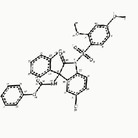 COc1ccc(S(=O)(=O)N2C(=O)C(NC(=O)Oc3ccccc3)(c3ccccc3Cl)c3cc(Cl)ccc32)c(OC)c1